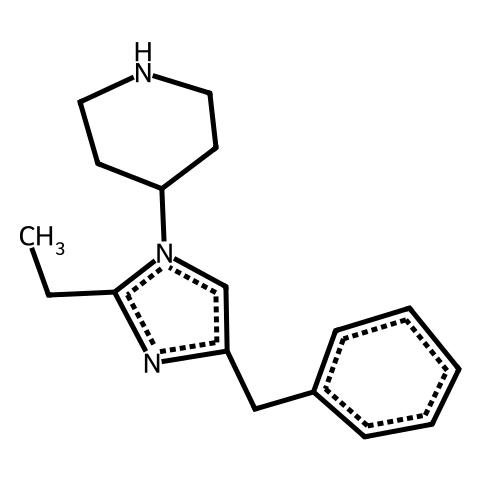 CCc1nc(Cc2ccccc2)cn1C1CCNCC1